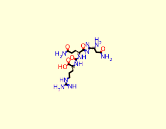 N=C(N)NCCC[C@H](NC(=O)N[C@@H](CCC(N)=O)c1nc([C@@H](N)CC(N)=O)no1)C(=O)O